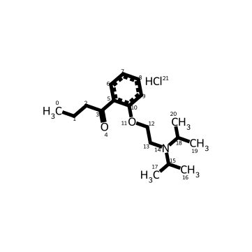 CCCC(=O)c1ccccc1OCCN(C(C)C)C(C)C.Cl